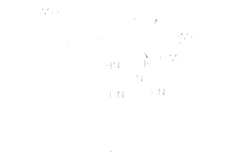 COC(=O)c1ccc2c(c1)[C@@H](NC(=NC#N)NCc1ccccc1)[C@H](O)[C@@](C)(C(OC)OC)O2